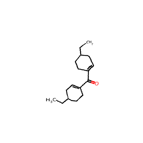 CCC1CC=C(C(=O)C2=CCC(CC)CC2)CC1